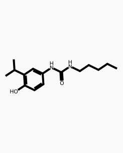 CCCCCNC(=O)Nc1ccc(O)c(C(C)C)c1